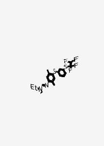 CCN(C)C=Nc1cc(C)c(Sc2cccc(SC(F)(F)C(F)F)c2)cc1C